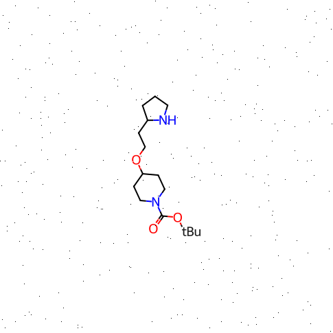 CC(C)(C)OC(=O)N1CCC(OCCC2CCCN2)CC1